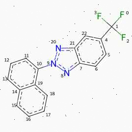 FC(F)(F)c1ccc2nn(-c3cccc4ccccc34)nc2c1